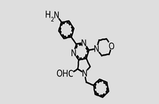 Nc1ccc(-c2nc3c(c(N4CCOCC4)n2)CN(Cc2ccccc2)C3C=O)cc1